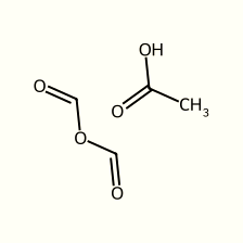 CC(=O)O.O=COC=O